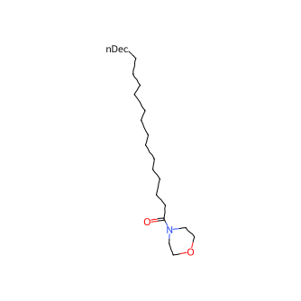 CCCCCCCCCCCCCCCCCCCCCCCC(=O)N1CCOCC1